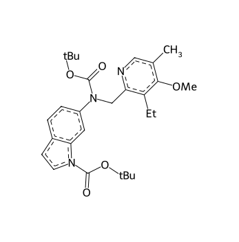 CCc1c(CN(C(=O)OC(C)(C)C)c2ccc3ccn(C(=O)OC(C)(C)C)c3c2)ncc(C)c1OC